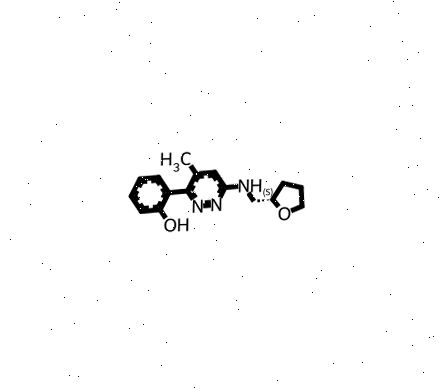 Cc1cc(NC[C@@H]2CCCO2)nnc1-c1ccccc1O